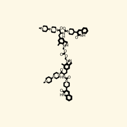 Cc1cc(CC(NC(=O)N2CCC(c3cc4ccccc4[nH]c3=O)CC2)C(=O)N2CCN(C3CCN(C)CC3)CC2)cc2cnn(COC(=O)OCn3ncc4cc(CC(NC(=O)N5CCC(c6cc7ccccc7[nH]c6=O)CC5)C(=O)N5CCN(C6CCN(C)CC6)CC5)cc(C)c43)c12